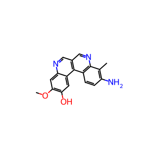 COc1cc2ncc3cnc4c(C)c(N)ccc4c3c2cc1O